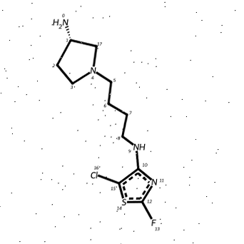 N[C@H]1CCN(CCCCNc2nc(F)sc2Cl)C1